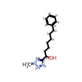 Cn1nnc(C(O)CCCCCCc2ccccc2)n1